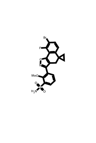 COc1c(-c2noc3c2CC2(CC2)c2ccc(Br)c(F)c2-3)cccc1S(N)(=O)=O